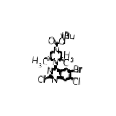 C[C@@H]1CN(C(=O)OC(C)(C)C)C[C@H](C)N1c1nc(Cl)nc2cc(Cl)c(Br)cc12